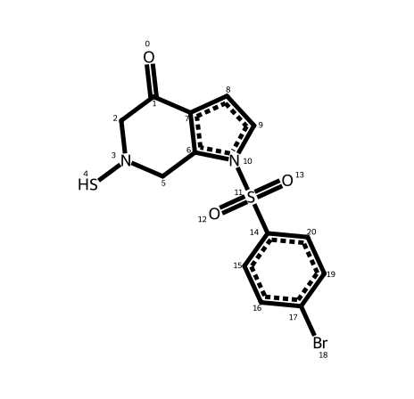 O=C1CN(S)Cc2c1ccn2S(=O)(=O)c1ccc(Br)cc1